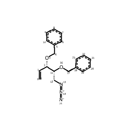 C=C[C@H](OCc1ccccc1)[C@@H](CN=[N+]=[N-])OCc1ccccc1